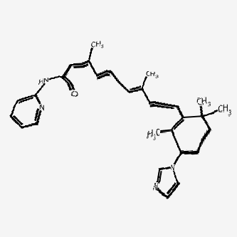 CC1=C(/C=C/C(C)=C/C=C/C(C)=C\C(=O)Nc2ccccn2)C(C)(C)CCC1n1ccnc1